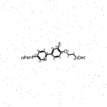 CCCCCCCCCCCCOc1ccc(-c2ccc(CCCCC)cn2)cc1F